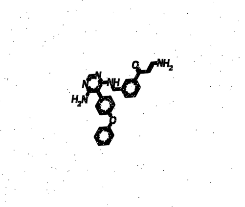 N/C=C/C(=O)c1cccc(CNc2ncnc(N)c2-c2ccc(Oc3ccccc3)cc2)c1